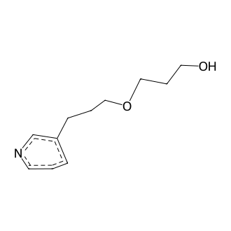 OCCCOCCCc1cccnc1